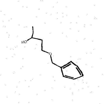 CC(O)CCOCc1ccccc1